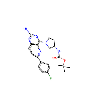 CC(C)(C)OC(=O)N[C@H]1CCN(c2nc(N)nc3ccc(-c4ccc(F)cc4)nc23)C1